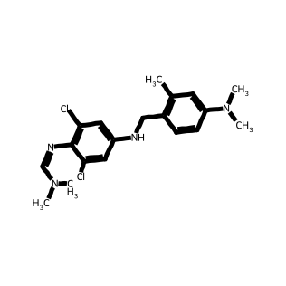 Cc1cc(N(C)C)ccc1CNc1cc(Cl)c(/N=C\N(C)C)c(Cl)c1